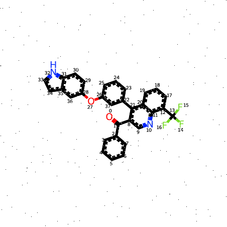 O=C(c1ccccc1)c1cnc2c(C(F)(F)F)cccc2c1-c1cccc(Oc2ccc3[nH]ccc3c2)c1